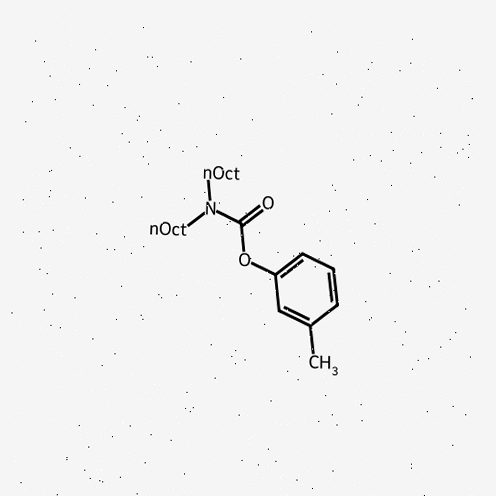 CCCCCCCCN(CCCCCCCC)C(=O)Oc1cccc(C)c1